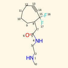 CNCCNC(=O)CC1CCCCC#CC1(F)F